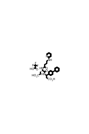 O=C(O)C(F)(F)F.O=C(O)CC[C@H](NC(=O)CCCNc1ccccn1)C(=O)NC(CC(=O)O)c1ccc(-c2ccccc2)cc1